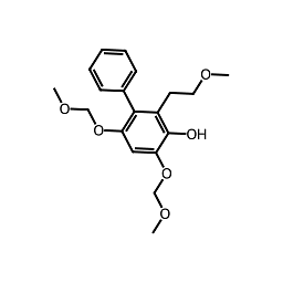 COCCc1c(O)c(OCOC)cc(OCOC)c1-c1ccccc1